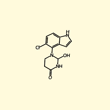 O=C1CCN(c2c(Cl)ccc3[nH]ccc23)C(O)N1